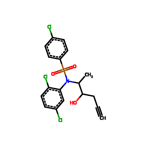 C#CCC(O)C(C)N(c1cc(Cl)ccc1Cl)S(=O)(=O)c1ccc(Cl)cc1